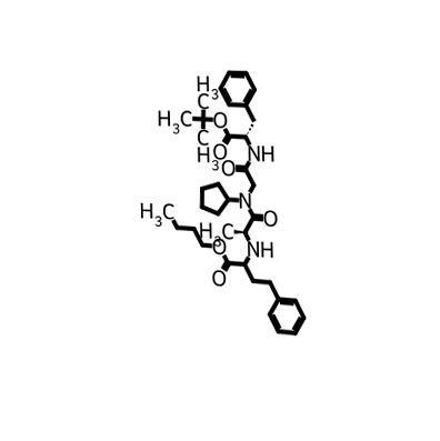 CCCCOC(=O)C(CCc1ccccc1)N[C@@H](C)C(=O)N(CC(=O)N[C@@H](Cc1ccccc1)C(=O)OC(C)(C)C)C1CCCC1